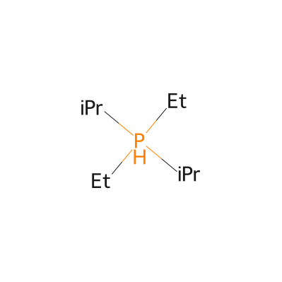 CC[PH](CC)(C(C)C)C(C)C